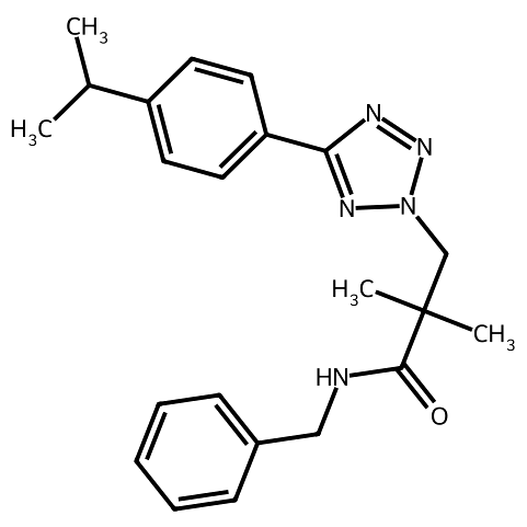 CC(C)c1ccc(-c2nnn(CC(C)(C)C(=O)NCc3ccccc3)n2)cc1